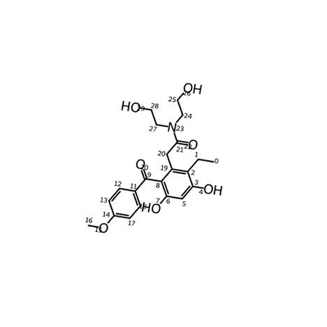 CCc1c(O)cc(O)c(C(=O)c2ccc(OC)cc2)c1CC(=O)N(CCO)CCO